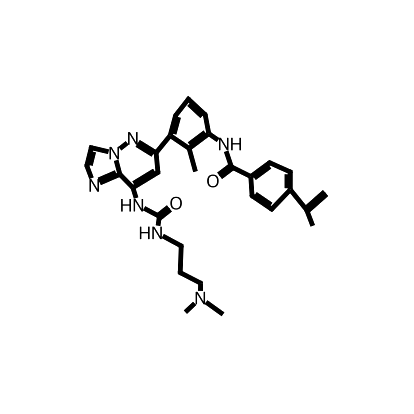 C=C(C)c1ccc(C(=O)Nc2cccc(-c3cc(NC(=O)NCCCN(C)C)c4nccn4n3)c2C)cc1